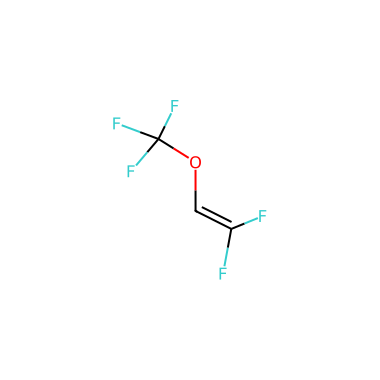 FC(F)=COC(F)(F)F